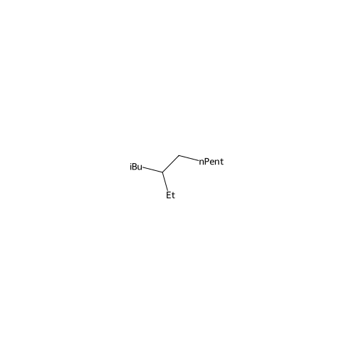 [CH2]CC(C)C(CC)CCCCCC